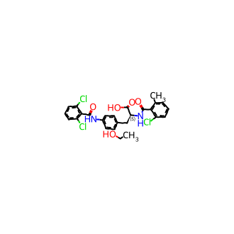 CCO.Cc1cccc(Cl)c1C(=O)N[C@@H](Cc1ccc(NC(=O)c2c(Cl)cccc2Cl)cc1)C(=O)O